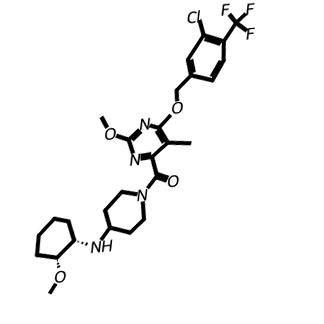 COc1nc(OCc2ccc(C(F)(F)F)c(Cl)c2)c(C)c(C(=O)N2CCC(N[C@H]3CCCC[C@H]3OC)CC2)n1